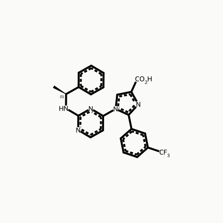 C[C@H](Nc1nccc(-n2cc(C(=O)O)nc2-c2cccc(C(F)(F)F)c2)n1)c1ccccc1